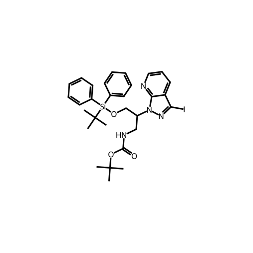 CC(C)(C)OC(=O)NCC(CO[Si](c1ccccc1)(c1ccccc1)C(C)(C)C)n1nc(I)c2cccnc21